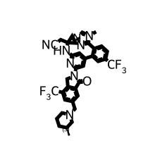 C[C@H]1CCCN(Cc2cc3c(c(C(F)(F)F)c2)CN(c2cc(-c4cc(C(F)(F)F)ccc4-c4nncn4C)cc(NC4(CC#N)CC4)n2)C3=O)C1